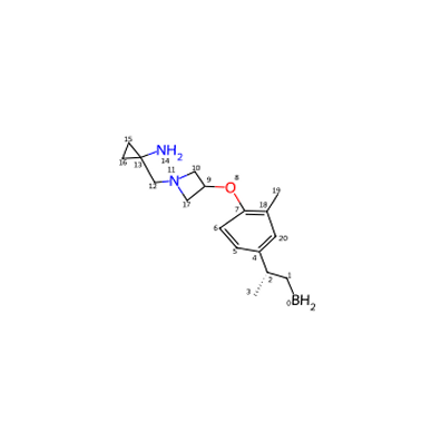 BC[C@H](C)c1ccc(OC2CN(CC3(N)CC3)C2)c(C)c1